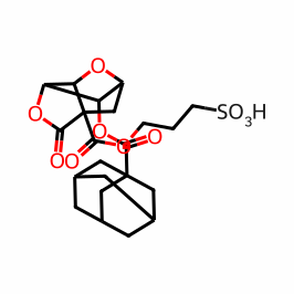 O=C(OC1C2CC3(C(=O)OCCCS(=O)(=O)O)C(=O)OC1C3O2)C12CC3CC(CC(C3)C1)C2